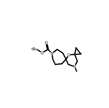 CN1CC2(CCCN(C(=O)OC(C)(C)C)CC2)OC2(CC2)C1